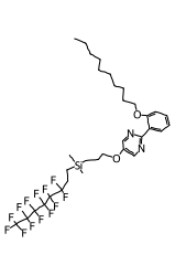 CCCCCCCCCCOc1ccccc1-c1ncc(OCCC[Si](C)(C)CCC(F)(F)C(F)(F)C(F)(F)C(F)(F)C(F)(F)C(F)(F)F)cn1